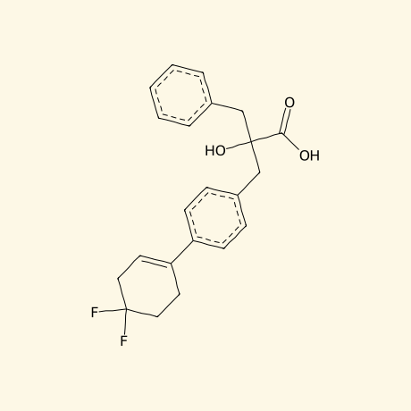 O=C(O)C(O)(Cc1ccccc1)Cc1ccc(C2=CCC(F)(F)CC2)cc1